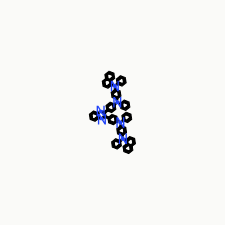 c1ccc(N(c2ccc(-c3nc4ccccc4nc3-c3ccc(N(c4ccccc4)c4ccc(N(c5ccccc5)c5cccc6ccccc56)cc4)cc3)cc2)c2ccc(N(c3ccccc3)c3cccc4ccccc34)cc2)cc1